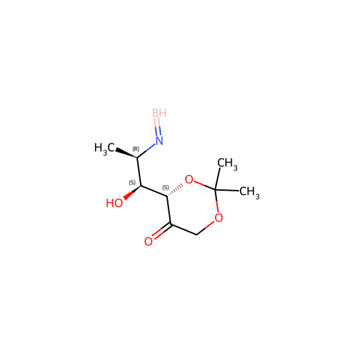 B=N[C@H](C)[C@H](O)[C@@H]1OC(C)(C)OCC1=O